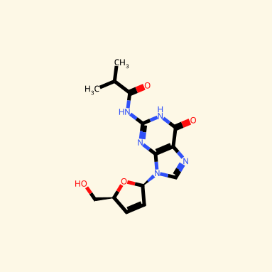 CC(C)C(=O)Nc1nc2c(ncn2[C@H]2C=C[C@@H](CO)O2)c(=O)[nH]1